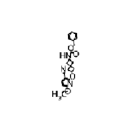 COc1ccc(C#N)c(O[C@H]2CC3(C[C@H](NC(=O)OCc4ccccc4)C3)C2)n1